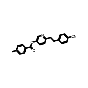 Cc1ccc(C(=O)Oc2ccc(CCc3ccc(C#N)cc3)nc2)cc1